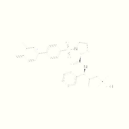 C=C/C=C\C(=C/C=C)c1ccc(S(=O)(=O)N2CCS[C@H]2C(=O)N[C@H](c2ccccc2)C(C)CC(C)(C)O)cc1